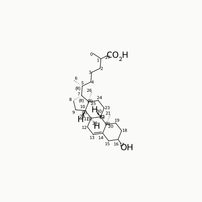 CC(CCC[C@@H](C)[C@H]1CC[C@H]2[C@@H]3CC=C4CC(O)CC[C@]4(C)[C@H]3CC[C@]12C)C(=O)O